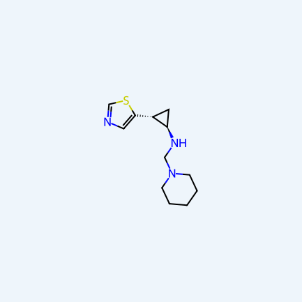 c1ncc([C@@H]2C[C@H]2NCN2CCCCC2)s1